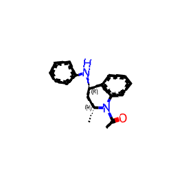 CC(=O)N1c2ccccc2[C@H](Nc2ccccc2)C[C@H]1C